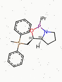 CC(C)P1O[C@H](CS(C)(c2ccccc2)c2ccccc2)[C@@H]2CCCN21